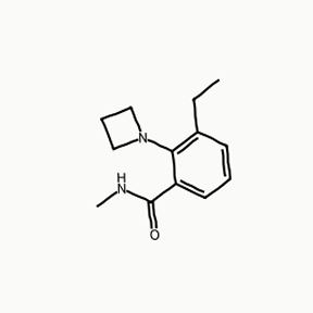 CCc1cccc(C(=O)NC)c1N1CCC1